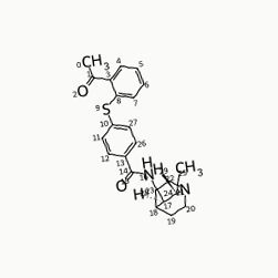 CC(=O)c1ccccc1Sc1ccc(C(=O)N[C@@H]2C3CCN(CC3)[C@H]2C)cc1